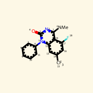 CNc1nc(=O)n(-c2ccccc2)c2cc(C(F)(F)F)cc(F)c12